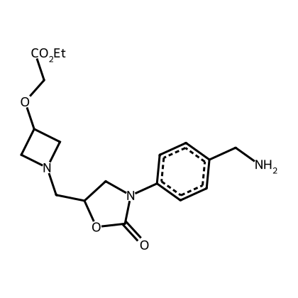 CCOC(=O)COC1CN(CC2CN(c3ccc(CN)cc3)C(=O)O2)C1